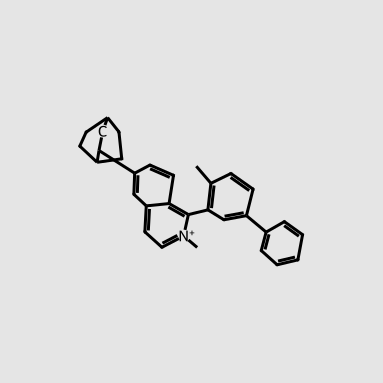 Cc1ccc(-c2ccccc2)cc1-c1c2ccc(C3CC4CCC3CC4)cc2cc[n+]1C